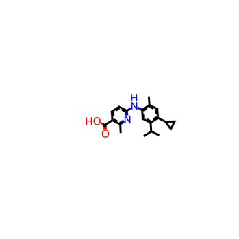 Cc1cc(C2CC2)c(C(C)C)cc1Nc1ccc(C(=O)O)c(C)n1